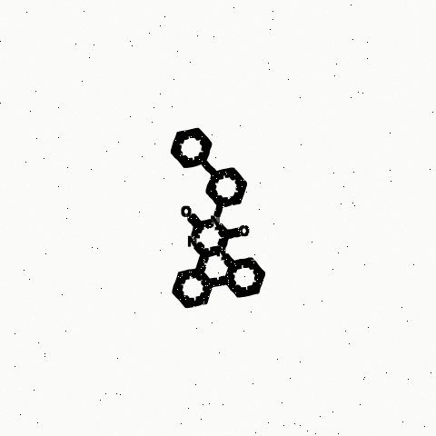 O=c1nc2c3ccccc3c3ccccc3n2c(=O)n1-c1cccc(-c2ccccc2)c1